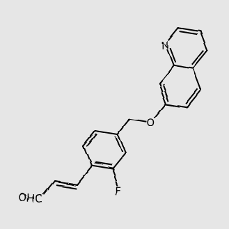 O=C/C=C/c1ccc(COc2ccc3cccnc3c2)cc1F